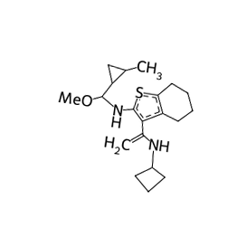 C=C(NC1CCC1)c1c(NC(OC)C2CC2C)sc2c1CCCC2